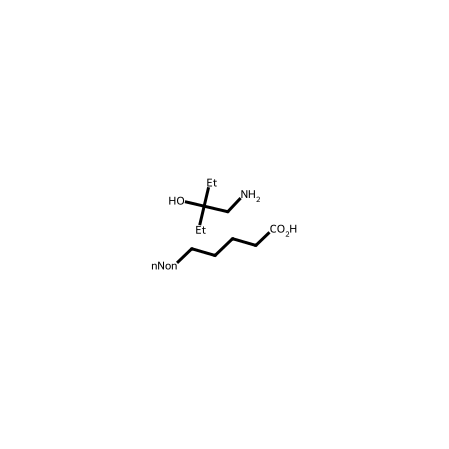 CCC(O)(CC)CN.CCCCCCCCCCCCCC(=O)O